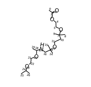 CC(=O)OCCOC(C)(C)CCOC(C)(C)CNC(C)OCCOC(C)C